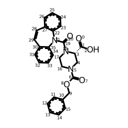 O=C(O)[C@@H]1CN(C(=O)OCc2ccccc2)CCN1C(=O)N1c2ccccc2C=Cc2ccccc21